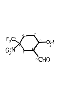 O=CC1CC([N+](=O)[O-])(C(F)(F)F)CCC1O